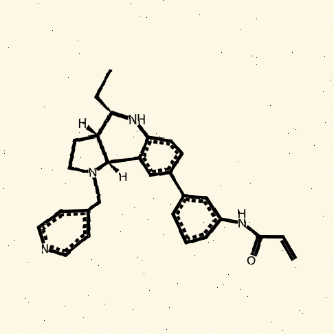 C=CC(=O)Nc1cccc(-c2ccc3c(c2)[C@H]2[C@H](CCN2Cc2ccncc2)[C@@H](CC)N3)c1